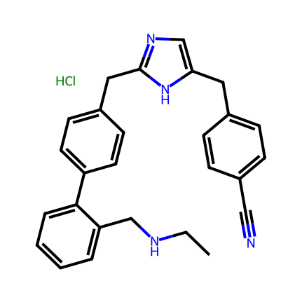 CCNCc1ccccc1-c1ccc(Cc2ncc(Cc3ccc(C#N)cc3)[nH]2)cc1.Cl